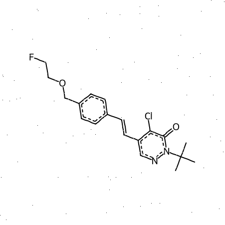 CC(C)(C)n1ncc(C=Cc2ccc(COCCF)cc2)c(Cl)c1=O